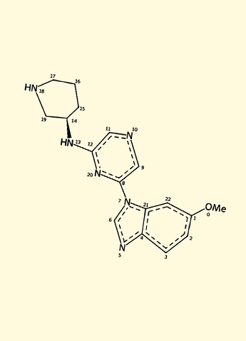 COc1ccc2ncn(-c3cncc(N[C@@H]4CCCNC4)n3)c2c1